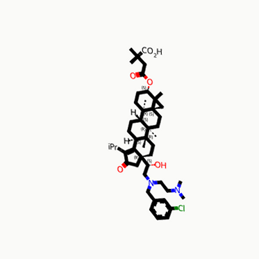 CC(C)C1=C2[C@H]3CC[C@@H]4[C@@]5(C)CC[C@H](OC(=O)CC(C)(C)C(=O)O)C6(C)C[C@]65CC[C@@]4(C)[C@]3(C)CC[C@@]2([C@H](O)CN(CCN(C)C)Cc2cccc(Cl)c2)CC1=O